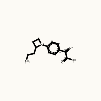 CCCC1CCN1c1ccc(C(=O)C(=O)O)cc1